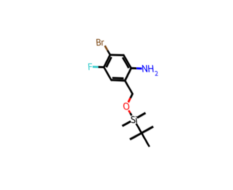 CC(C)(C)[Si](C)(C)OCc1cc(F)c(Br)cc1N